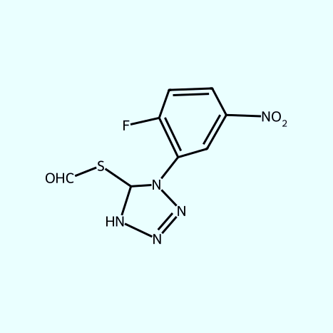 O=CSC1NN=NN1c1cc([N+](=O)[O-])ccc1F